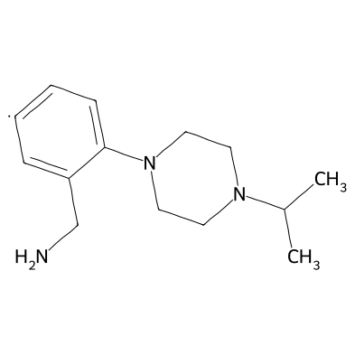 CC(C)N1CCN(c2cc[c]cc2CN)CC1